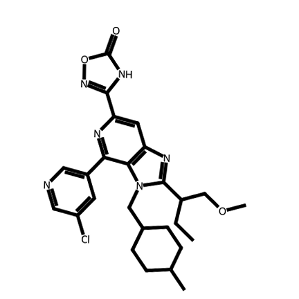 CCC(COC)c1nc2cc(-c3noc(=O)[nH]3)nc(-c3cncc(Cl)c3)c2n1CC1CCC(C)CC1